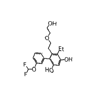 CCc1c(O)cc(O)c(-c2[c]ccc(OC(F)F)c2)c1CCOCCO